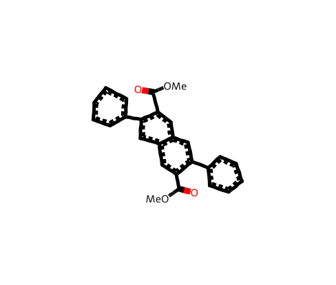 COC(=O)c1cc2cc(-c3ccccc3)c(C(=O)OC)cc2cc1-c1ccccc1